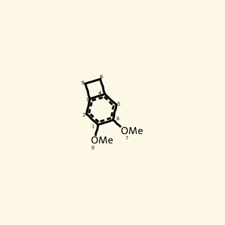 COc1cc2c(cc1OC)CC2